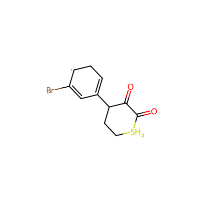 O=C1[SH4]CCC(C2=CC[CH]C(Br)=C2)C1=O